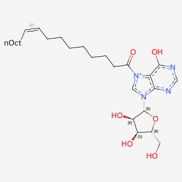 CCCCCCCC/C=C\CCCCCCCC(=O)[n+]1cn([C@@H]2O[C@H](CO)[C@@H](O)[C@H]2O)c2ncnc(O)c21